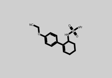 CCCS(=O)(=O)NC1CCCC=C1c1ccc(OCC#N)cc1